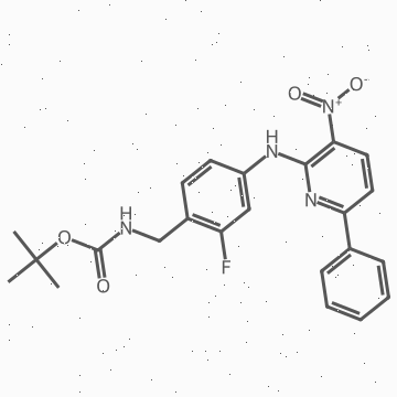 CC(C)(C)OC(=O)NCc1ccc(Nc2nc(-c3ccccc3)ccc2[N+](=O)[O-])cc1F